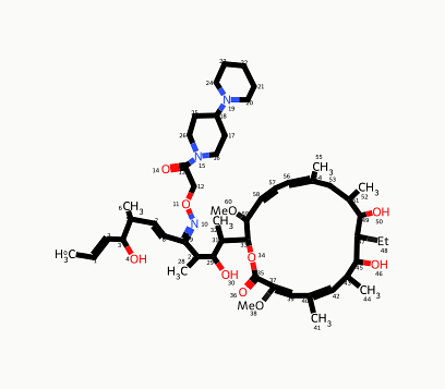 CC=CC(O)C(C)C=CC(=NOCC(=O)N1CCC(N2CCCCC2)CC1)C(C)C(O)C(C)C1OC(=O)C(OC)=CC(C)=CC(C)C(O)C(CC)C(O)C(C)CC(C)=CC=CC1OC